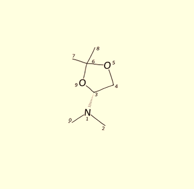 [CH2]N(C)[C@H]1COC(C)(C)O1